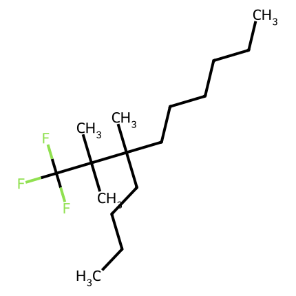 CCCCCCC(C)(CCCC)C(C)(C)C(F)(F)F